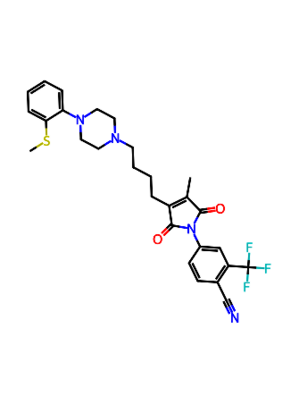 CSc1ccccc1N1CCN(CCCCC2=C(C)C(=O)N(c3ccc(C#N)c(C(F)(F)F)c3)C2=O)CC1